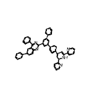 C1=C(c2ccc(-c3cc(-c4ccccc4)cc(-c4nc(-c5ccccc5)c5cc(-c6ccccc6)ccc5n4)c3)cc2)C=C(c2ccccn2)NC1c1ccccn1